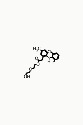 Cc1ccc(Nc2c(F)cccc2Cl)c(CC(=O)OCCOCCO)c1